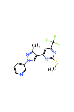 CSc1nc(-c2cn(-c3cccnc3)nc2C)cc(C(F)(F)F)n1